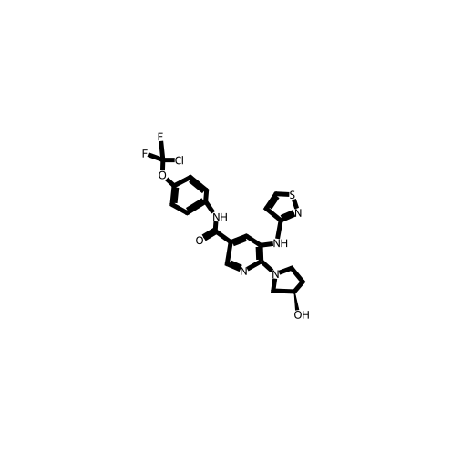 O=C(Nc1ccc(OC(F)(F)Cl)cc1)c1cnc(N2CC[C@@H](O)C2)c(Nc2ccsn2)c1